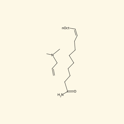 C=CCN(C)C.CCCCCCCC/C=C\CCCCCCCC(N)=O